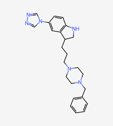 c1ccc(CN2CCN(CCCC3CNc4ccc(-n5cnnc5)cc43)CC2)cc1